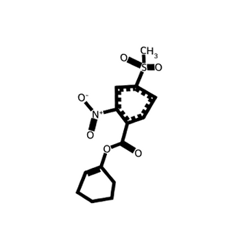 CS(=O)(=O)c1ccc(C(=O)OC2=CCCCC2)c([N+](=O)[O-])c1